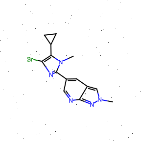 Cn1cc2cc(-c3nc(Br)c(C4CC4)n3C)cnc2n1